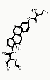 CCC(N)C(=O)Oc1ccc2c(c1)CCC1C2CC[C@@]2(C)C1CC[C@@H]2OC(=O)C(CC)NC=O